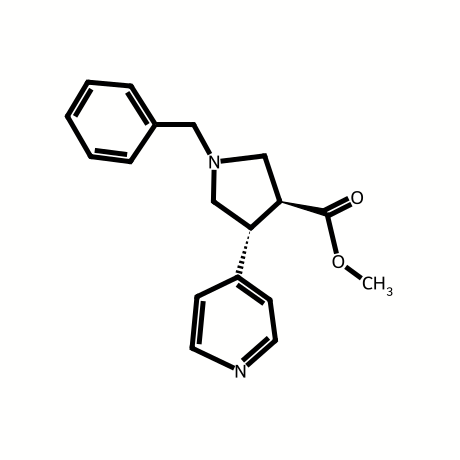 COC(=O)[C@@H]1CN(Cc2ccccc2)C[C@H]1c1ccncc1